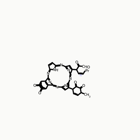 CC(C)/C=C\C(C(=O)C=O)C1=Cc2nc1nc1[nH]c(cc1C1C=CC(C)C(=O)C1=O)nc1nc(nc3ccc(n2)[nH]3)C2=C1C1C=CC2C(=O)C1=O